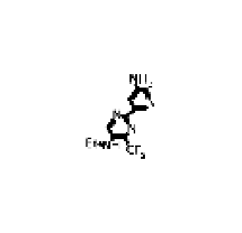 CCNc1cnc(-c2cncc(N)c2)nc1C(F)(F)F